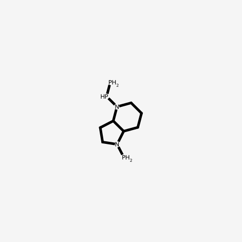 PPN1CCCC2C1CCN2P